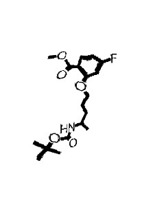 COC(=O)c1ccc(F)cc1OCCCC(C)NC(=O)OC(C)(C)C